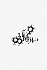 CCOC(=O)[C@H](CCc1ccccc1)N[C@@H](C)C(=O)N1c2ccccc2CC[C@H]1C(=O)O